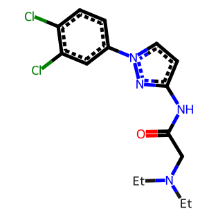 CCN(CC)CC(=O)Nc1ccn(-c2ccc(Cl)c(Cl)c2)n1